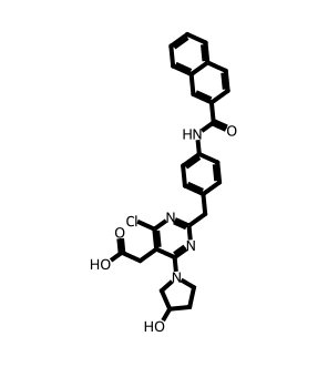 O=C(O)Cc1c(Cl)nc(Cc2ccc(NC(=O)c3ccc4ccccc4c3)cc2)nc1N1CCC(O)C1